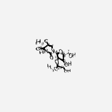 Cc1cn([C@@H]2O[C@H](CO)C(O)C2OC(C)CO)c(=O)[nH]c1=O